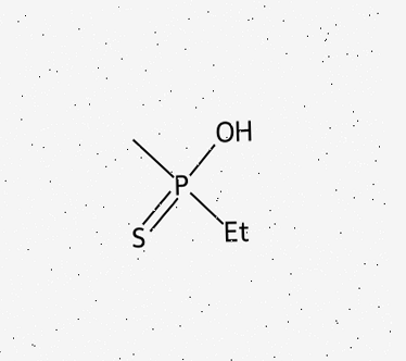 CCP(C)(O)=S